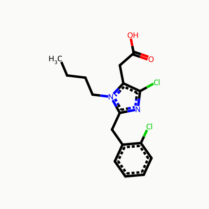 CCCCn1c(Cc2ccccc2Cl)nc(Cl)c1CC(=O)O